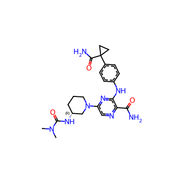 CN(C)C(=O)N[C@@H]1CCCN(c2cnc(C(N)=O)c(Nc3ccc(C4(C(N)=O)CC4)cc3)n2)C1